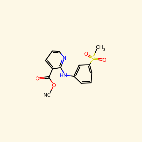 CS(=O)(=O)c1cccc(Nc2ncccc2C(=O)OC#N)c1